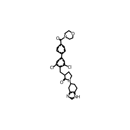 O=C(c1ccc(-c2cc(Cl)c(CC3CCN(C4CCc5[nH]cnc5C4)C3=O)c(Cl)c2)cc1)N1CCOCC1